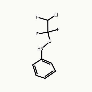 FC(Cl)C(F)(F)ONc1ccccc1